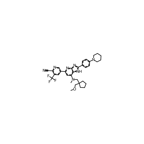 COCC1(CN(C)c2cc(-c3cnc(C#N)c(C(F)(F)F)c3)nc3nc(-c4ccc(N5CCCCC5)cc4)[nH]c23)CCCC1